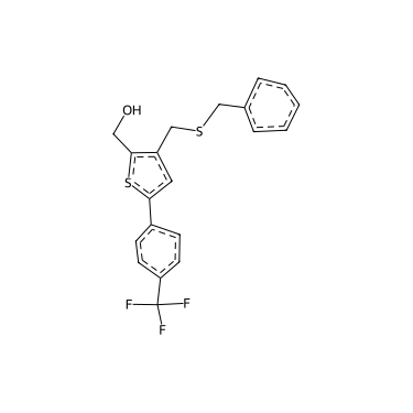 OCc1sc(-c2ccc(C(F)(F)F)cc2)cc1CSCc1ccccc1